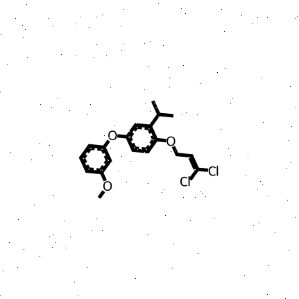 COc1cccc(Oc2ccc(OCC=C(Cl)Cl)c(C(C)C)c2)c1